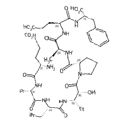 CC[C@H](NC(=O)[C@H](CC(C)C)NC(=O)[C@@H](NC(=O)[C@@H](N)CCC(=O)O)C(C)C)[C@@H](O)C(=O)N1CCC[C@H]1C(=O)N[C@@H](C)C(=O)N[C@@H](CCC(=O)O)C(=O)N[C@@H](Cc1ccccc1)C(=O)O